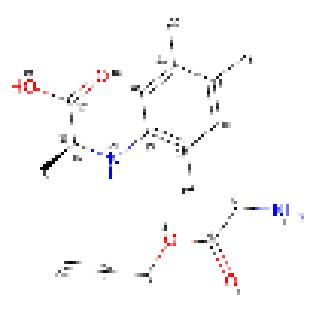 C#CCOC(=O)CN.Cc1cc(C)c(N[C@@H](C)C(=O)O)cc1C